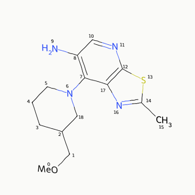 COCC1CCCN(c2c(N)cnc3sc(C)nc23)C1